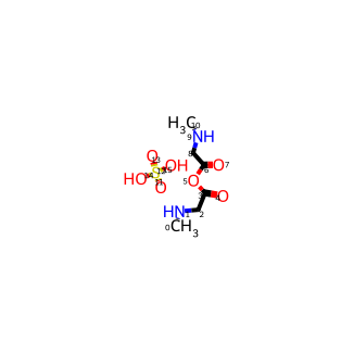 CNCC(=O)OC(=O)CNC.O=S(=O)(O)O